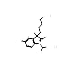 CCCCC(C(=O)O)[N+]1=C(C)C(C)(CCCCS(=O)(=O)O)c2cc(S(=O)(=O)O)ccc21